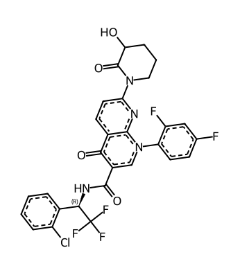 O=C(N[C@H](c1ccccc1Cl)C(F)(F)F)c1cn(-c2ccc(F)cc2F)c2nc(N3CCCC(O)C3=O)ccc2c1=O